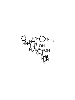 Cn1nnc([C@H]2O[C@@H](n3cnc4c(NC5CCCC5)nc(NC5CCC(N)CC5)nc43)[C@H](O)[C@@H]2O)n1